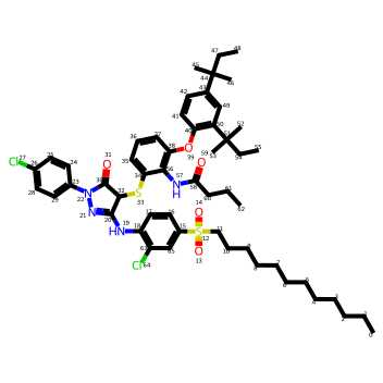 CCCCCCCCCCCCS(=O)(=O)c1ccc(NC2=NN(c3ccc(Cl)cc3)C(=O)C2Sc2cccc(Oc3ccc(C(C)(C)CC)cc3C(C)(C)CC)c2NC(=O)CCC)c(Cl)c1